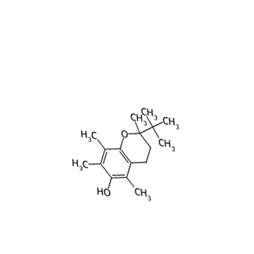 Cc1c(C)c2c(c(C)c1O)CCC(C)(C(C)(C)C)O2